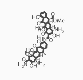 COC(=O)[C@@H]1c2cccc(O)c2C(=O)C2=C(O)[C@]3(O)C(=O)C(C(=O)Nc4ccc5c(c4O)C(=O)C4=C(O)[C@]6(O)C(=O)C(C(N)=O)=C(O)[C@@H](N)[C@@H]6C[C@@H]4[C@@H]5C)=C(O)[C@@H](N)[C@@H]3C[C@@H]21